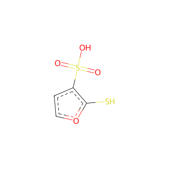 O=S(=O)(O)c1ccoc1S